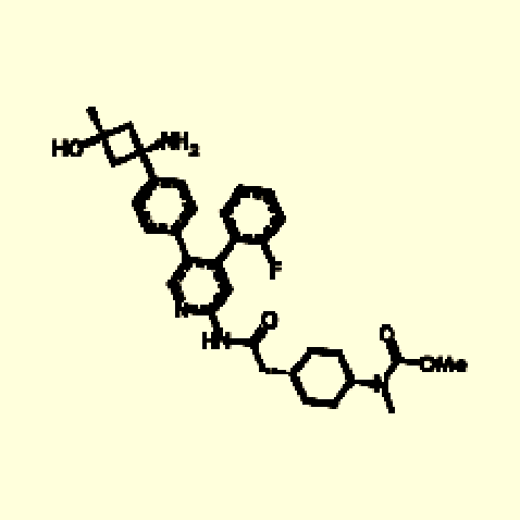 COC(=O)N(C)[C@H]1CC[C@H](CC(=O)Nc2cc(-c3ccccc3F)c(-c3ccc([C@]4(N)C[C@](C)(O)C4)cc3)cn2)CC1